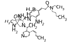 BC(=C/CC(=O)N(CC)CCCC)/C=C(/N)CNC[C@H]1N(C(=C)c2cnccc2/C=C\C=C)C[C@]2(N)C(C)(C)[C@]12N